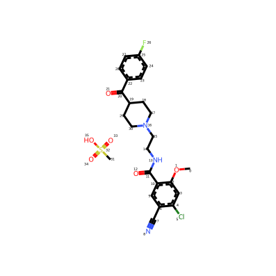 COc1cc(Cl)c(C#N)cc1C(=O)NCCN1CCC(C(=O)c2ccc(F)cc2)CC1.CS(=O)(=O)O